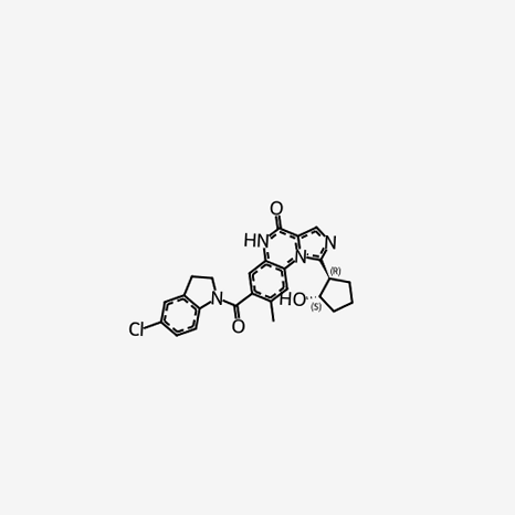 Cc1cc2c(cc1C(=O)N1CCc3cc(Cl)ccc31)[nH]c(=O)c1cnc([C@H]3CCC[C@@H]3O)n12